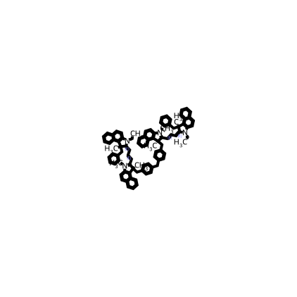 CCN1/C(=C/C=C/C2=[N+](C)c3ccc4ccccc4c3C2(C)Cc2ccc(Cc3ccc(CC4(C)C(/C=C/C=C5/N(CC)c6ccc7ccccc7c6C5(C)Cc5ccccc5)=[N+](C)c5ccc6ccccc6c54)cc3)cc2)C(C)(Cc2ccccc2)c2c1ccc1ccccc21